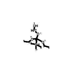 CCOC(OCC)(OPO)[Si](C)(C)C